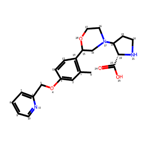 Cc1cc(OCc2ccccn2)ccc1C1CN(C2CCN[C@@H]2C(=O)O)CCO1